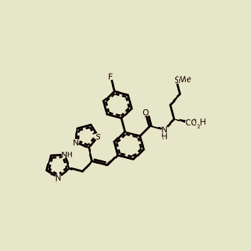 CSCC[C@H](NC(=O)c1ccc(C=C(Cc2ncc[nH]2)c2nccs2)cc1-c1ccc(F)cc1)C(=O)O